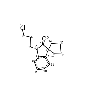 O=C1N(CCCCl)c2ccccc2C12CCCC2